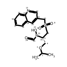 CC(C)OC[C@@H](CS(=O)(=O)Cc1cnc2ccccc2c1)N(O)C=O